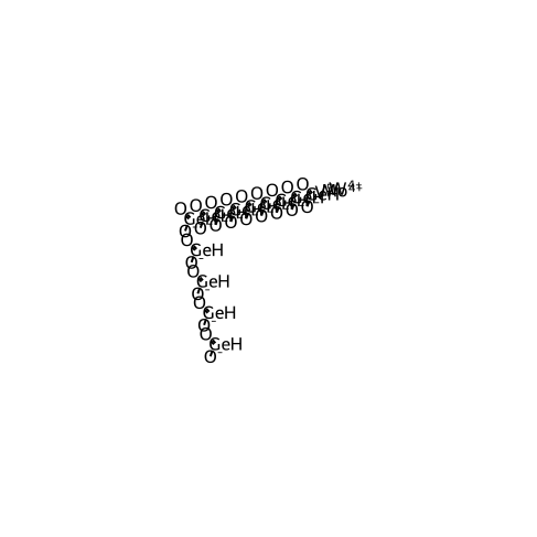 [Mo+4].[O]=[GeH][O-].[O]=[GeH][O-].[O]=[GeH][O-].[O]=[GeH][O-].[O]=[GeH][O-].[O]=[GeH][O-].[O]=[GeH][O-].[O]=[GeH][O-].[O]=[GeH][O-].[O]=[GeH][O-].[O]=[GeH][O-].[O]=[GeH][O-].[O]=[GeH][O-].[V+5].[W+4]